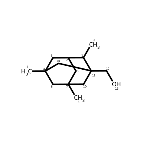 CC1C2CC3(C)CC(C)(C2)CC1(CO)C3